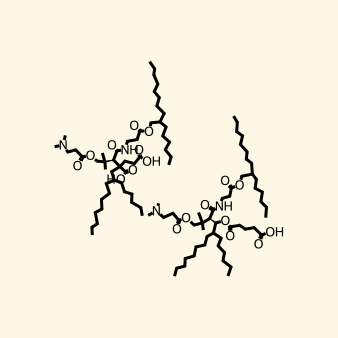 CCCCCCCCC(CCCCCC)COC(=O)CCNC(=O)[C@@H](C(OC(=O)CCCC(=O)O)C(CCCCCC)CCCCCCCC)C(C)(C)COC(=O)CCN(C)C.CCCCCCCCC(CCCCCC)COC(=O)CCNC(=O)[C@H](C(C)(C)COC(=O)CCN(C)C)C(CCC(=O)O)(CC(CCCCCC)CCCCCCCC)C(=O)O